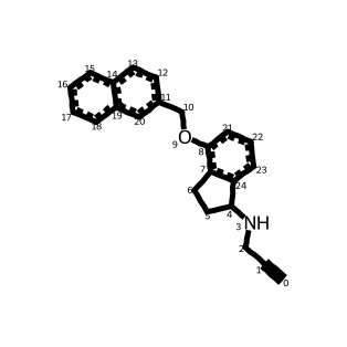 C#CCNC1CCc2c(OCc3ccc4ccccc4c3)cccc21